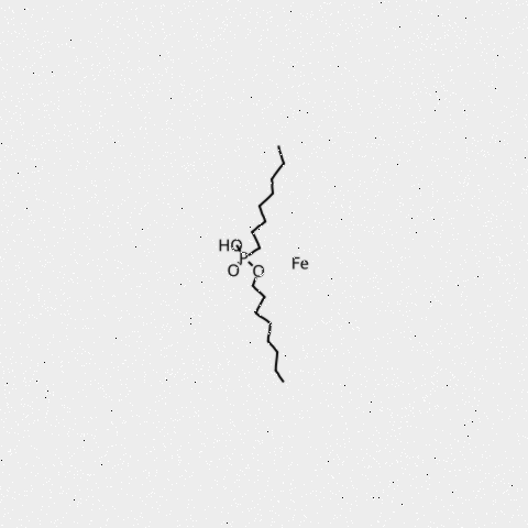 CCCCCCCCOP(=O)(O)CCCCCCCC.[Fe]